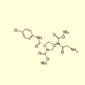 CC(C)(C)OC(=O)N1C[C@H](N(C(=O)CN)C(=O)OC(C)(C)C)C[C@H]1C(=O)Nc1ccc(Cl)cc1